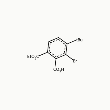 CCOC(=O)c1ccc(C(C)(C)C)c(Br)c1C(=O)O